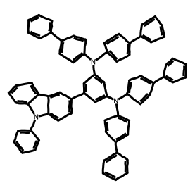 c1ccc(-c2ccc(N(c3ccc(-c4ccccc4)cc3)c3cc(-c4ccc5c(c4)c4ccccc4n5-c4ccccc4)cc(N(c4ccc(-c5ccccc5)cc4)c4ccc(-c5ccccc5)cc4)c3)cc2)cc1